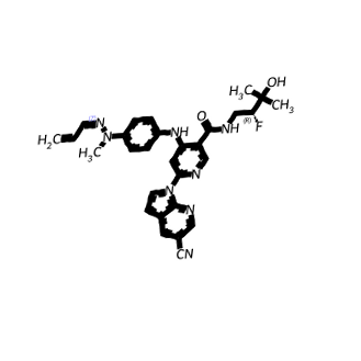 C=C/C=N\N(C)c1ccc(Nc2cc(-n3ccc4cc(C#N)cnc43)ncc2C(=O)NC[C@@H](F)C(C)(C)O)cc1